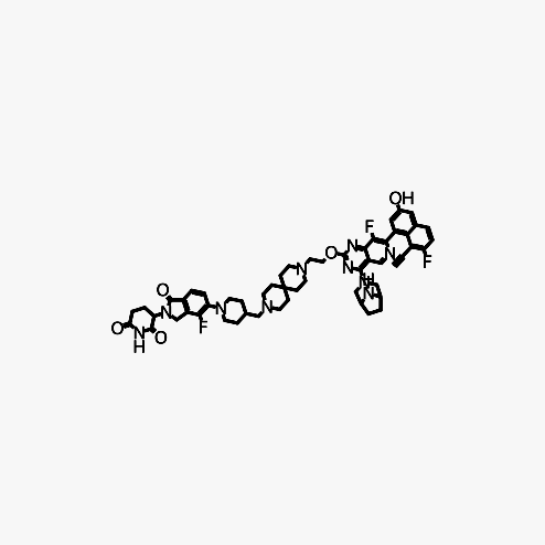 C#Cc1c(F)ccc2cc(O)cc(-c3ncc4c(N5CC6CCC(C5)N6)nc(OCCN5CCC6(CC5)CCN(CC5CCN(c7ccc8c(c7F)CN(C7CCC(=O)NC7=O)C8=O)CC5)CC6)nc4c3F)c12